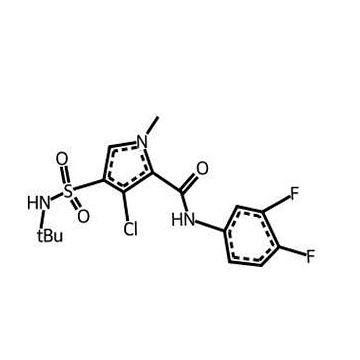 Cn1cc(S(=O)(=O)NC(C)(C)C)c(Cl)c1C(=O)Nc1ccc(F)c(F)c1